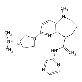 C=C(Nc1cnccn1)N1CCCN(C)c2ccc(N3CC[C@H](N(C)C)C3)nc21